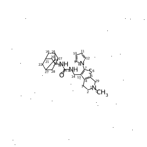 CN1CCc2c(sc(-n3cccc3)c2CNC(=O)NC23CC4CC(CC(C4)C2)C3)C1